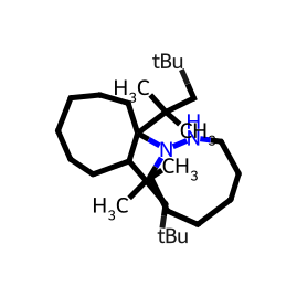 CC(C)(C)CC(C)(C)C1CCCCCCC1(N1CCCCCCN1)C(C)(C)CC(C)(C)C